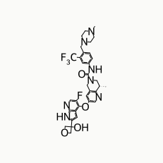 C[C@H]1CN(C(=O)Nc2ccc(CN3CCN(C)CC3)c(C(F)(F)F)c2)Cc2cc(Oc3c(F)cnc4[nH]c(C5(O)COC5)cc34)cnc21